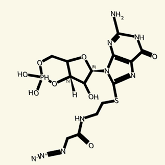 [N-]=[N+]=NCC(=O)NCCSc1nc2c(=O)[nH]c(N)nc2n1[C@@H]1OC2CO[PH](O)(O)O[C@H]2C1O